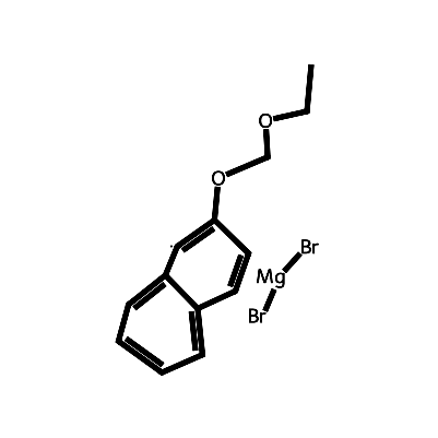 CCOCOc1[c]c2ccccc2cc1.[Br][Mg][Br]